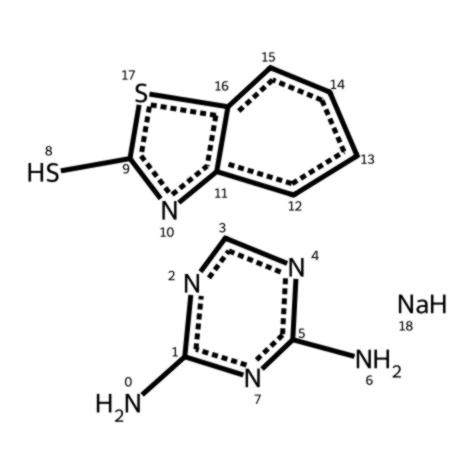 Nc1ncnc(N)n1.Sc1nc2ccccc2s1.[NaH]